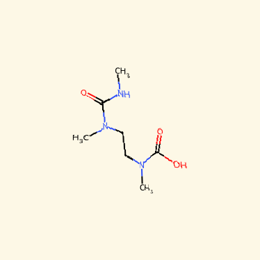 CNC(=O)N(C)CCN(C)C(=O)O